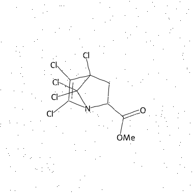 COC(=O)C1CC2(Cl)C(Cl)=C(Cl)N1C2(Cl)Cl